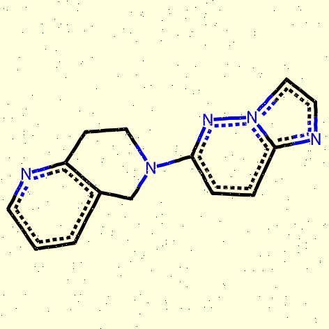 c1cnc2c(c1)CN(c1ccc3nccn3n1)CC2